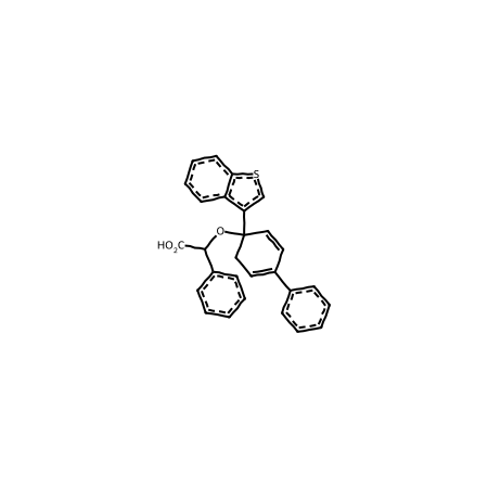 O=C(O)C(OC1(c2csc3ccccc23)C=CC(c2ccccc2)=CC1)c1ccccc1